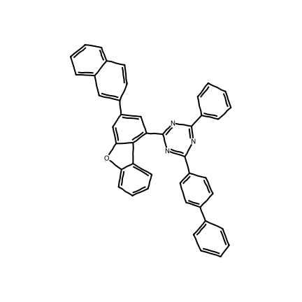 c1ccc(-c2ccc(-c3nc(-c4ccccc4)nc(-c4cc(-c5ccc6ccccc6c5)cc5oc6ccccc6c45)n3)cc2)cc1